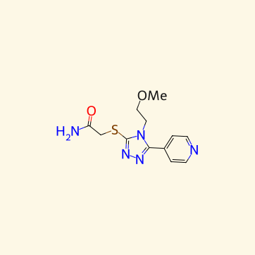 COCCn1c(SCC(N)=O)nnc1-c1ccncc1